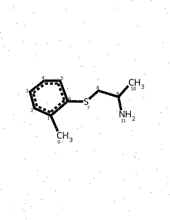 Cc1ccccc1SCC(C)N